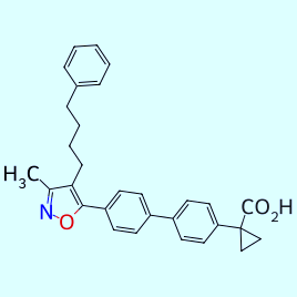 Cc1noc(-c2ccc(-c3ccc(C4(C(=O)O)CC4)cc3)cc2)c1CCCCc1ccccc1